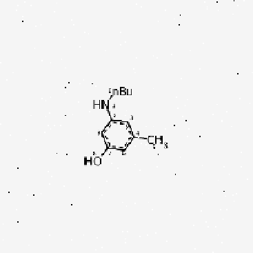 CCCCNc1cc(C)cc(O)c1